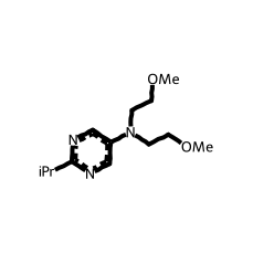 COCCN(CCOC)c1cnc(C(C)C)nc1